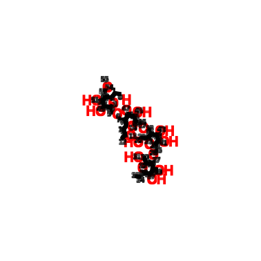 CCC1O[C@@H](COC[C@@H]2C(CC(C)=O)O[C@@H](COC[C@@H]3C(CO)O[C@@H](COC[C@H]4C(CO)O[C@@H](CC)C(O)[C@@H]4O)C(O)[C@@H]3O)C(O)[C@@H]2O)C(O)[C@H](O)[C@@H]1COC